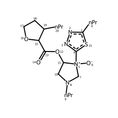 CCCc1nnc([N+]2([O-])CN(CCC)CC2OC(=O)C2OCCC2CCC)s1